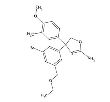 CCOCc1cc(Br)cc(C2(c3ccc(OC)c(C)c3)COC(N)=N2)c1